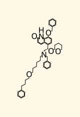 O=c1ccc2c([C@H](CN(CCCCCCOCCCCc3ccccc3)Cc3ccccc3)OC3CCCCO3)ccc(OCc3ccccc3)c2[nH]1